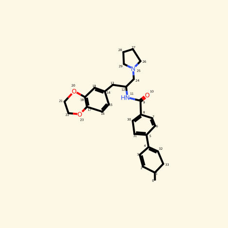 CC1C=CC(c2ccc(C(=O)NC(Cc3ccc4c(c3)OCCO4)CN3CCCC3)cc2)=CC1